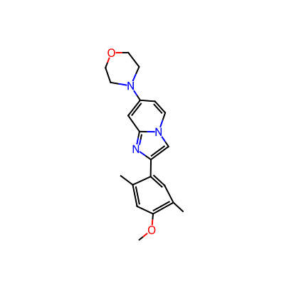 COc1cc(C)c(-c2cn3ccc(N4CCOCC4)cc3n2)cc1C